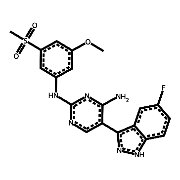 COc1cc(Nc2ncc(-c3n[nH]c4ccc(F)cc34)c(N)n2)cc(S(C)(=O)=O)c1